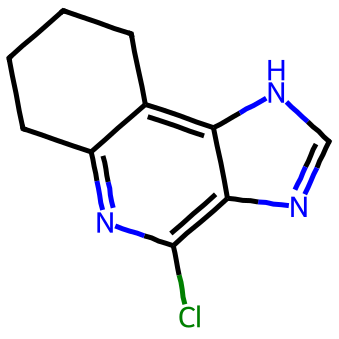 Clc1nc2c(c3[nH]cnc13)CCCC2